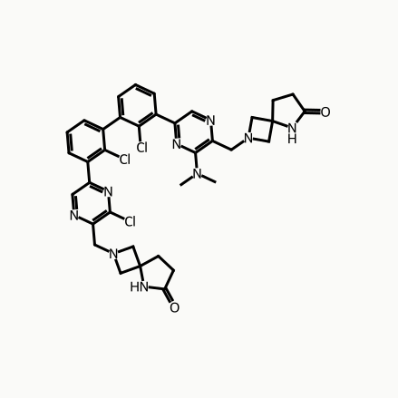 CN(C)c1nc(-c2cccc(-c3cccc(-c4cnc(CN5CC6(CCC(=O)N6)C5)c(Cl)n4)c3Cl)c2Cl)cnc1CN1CC2(CCC(=O)N2)C1